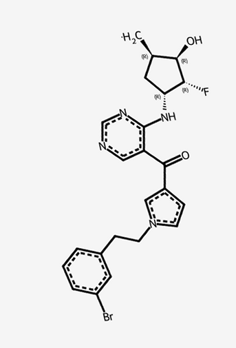 [CH2][C@@H]1C[C@@H](Nc2ncncc2C(=O)c2ccn(CCc3cccc(Br)c3)c2)[C@@H](F)[C@@H]1O